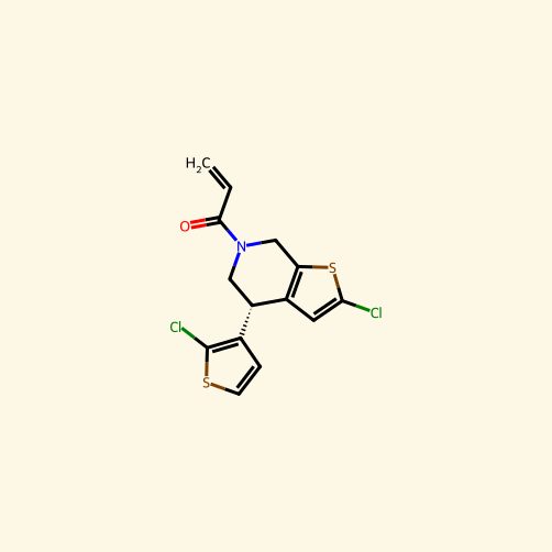 C=CC(=O)N1Cc2sc(Cl)cc2[C@H](c2ccsc2Cl)C1